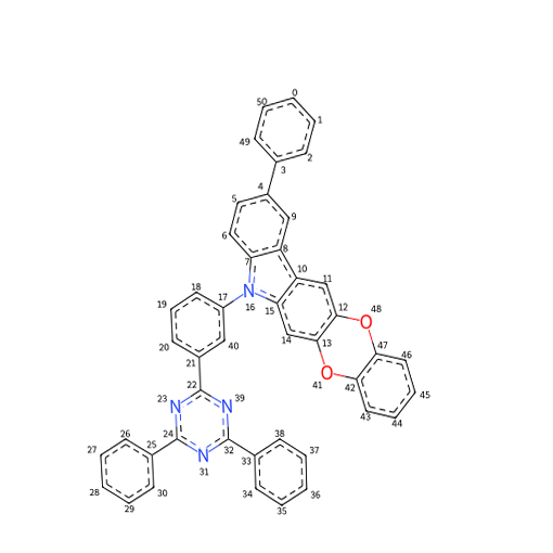 c1ccc(-c2ccc3c(c2)c2cc4c(cc2n3-c2cccc(-c3nc(-c5ccccc5)nc(-c5ccccc5)n3)c2)Oc2ccccc2O4)cc1